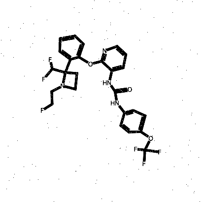 O=C(Nc1ccc(OC(F)(F)F)cc1)Nc1cccnc1Oc1ccccc1C1(C(F)F)CCN1CCF